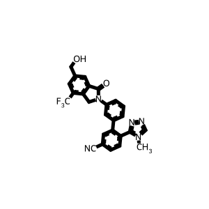 Cn1cnnc1-c1ccc(C#N)cc1-c1cccc(N2Cc3c(cc(CO)cc3C(F)(F)F)C2=O)c1